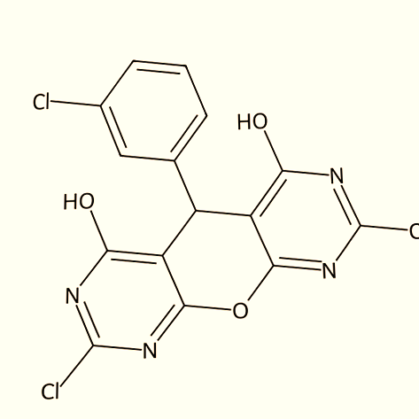 Oc1nc(Cl)nc2c1C(c1cccc(Cl)c1)c1c(O)nc(Cl)nc1O2